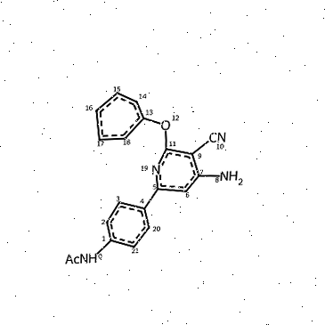 CC(=O)Nc1ccc(-c2cc(N)c(C#N)c(Oc3ccccc3)n2)cc1